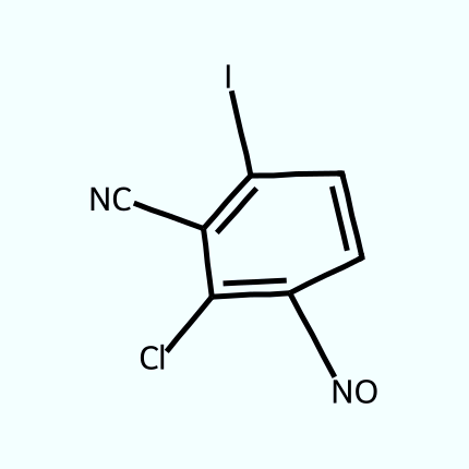 N#Cc1c(I)ccc(N=O)c1Cl